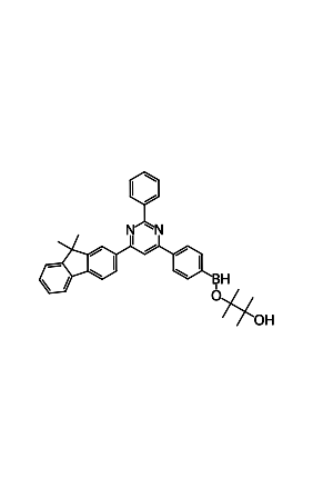 CC1(C)c2ccccc2-c2ccc(-c3cc(-c4ccc(BOC(C)(C)C(C)(C)O)cc4)nc(-c4ccccc4)n3)cc21